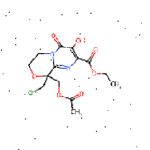 CCOC(=O)c1nc2n(c(=O)c1O)CCOC2(CCl)COC(C)=O